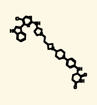 O=C1CCC(Nc2ccc(N3CCC(N4CC(CCN5CCC(Nc6ncc(Cl)c(-c7c[nH]c8ccccc78)n6)C5)C4)CC3)cc2)C(=O)N1